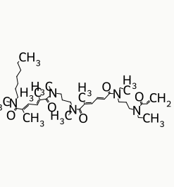 C=CC(=O)N(CC)CCCN(CC)C(=O)/C=C/C=C(\C)C(=O)N(C)CCCN(C)C(=O)/C(C)=C/C=C(\C)C(=O)N(C)CCCCCCC